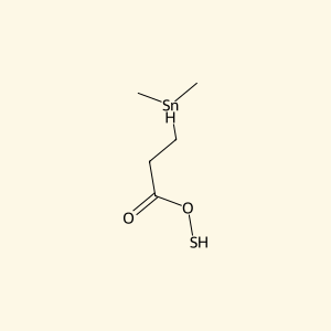 [CH3][SnH]([CH3])[CH2]CC(=O)OS